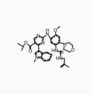 C=C(C)CNC(=O)Nc1cc(Nc2ncc(C(=O)OC(C)C)c(-c3cn(C)c4ccccc34)n2)c(OC)cc1N1CCOCC1